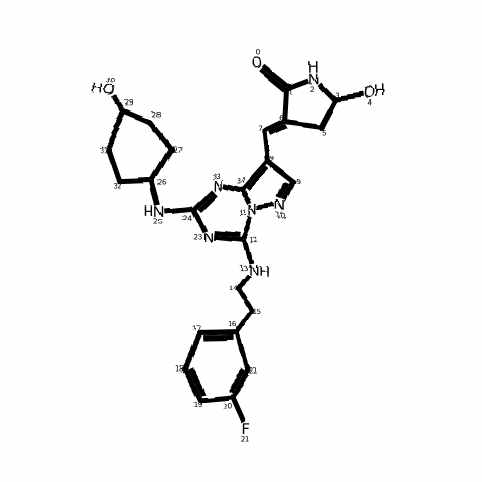 O=C1NC(O)C/C1=C\c1cnn2c(NCCc3cccc(F)c3)nc(NC3CCC(O)CC3)nc12